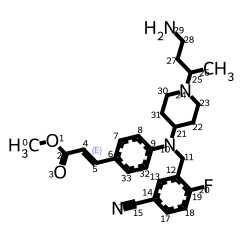 COC(=O)/C=C/c1ccc(N(Cc2cc(C#N)ccc2F)C2CCN(C(C)CCN)CC2)cc1